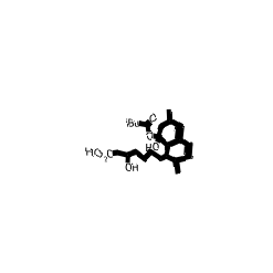 CCC(C)C(=O)OC1(O)CC(C)C=C2C=CC(C)C(CCCCC(O)CC(=O)O)C21